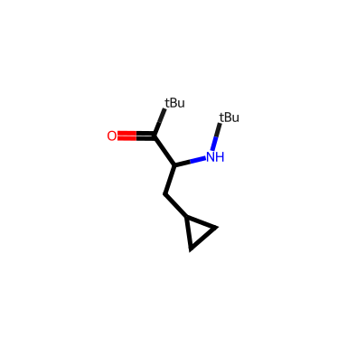 CC(C)(C)NC(CC1CC1)C(=O)C(C)(C)C